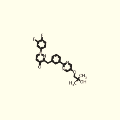 CC(C)(O)COc1cnc(-c2cccc(Cc3nn(-c4ccc(F)c(F)c4)ccc3=O)c2)nc1